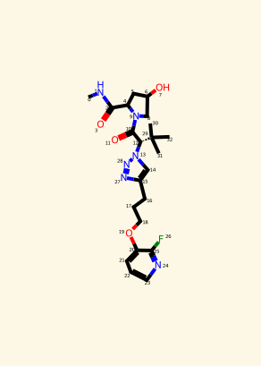 CNC(=O)C1CC(O)CN1C(=O)[C@@H](n1cc(CCCOc2cccnc2F)nn1)C(C)(C)C